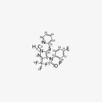 Cn1nc(C(F)(F)F)c(N(C=O)c2ccc(F)cc2F)c1Sc1ccccn1